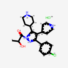 CC(O)C(=O)n1nc(-c2ccc(Cl)cc2)c(-c2ccncc2)c1C1CCNCC1.Cl